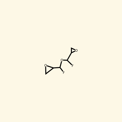 FC(OC(F)C1CO1)C1CO1